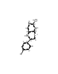 Fc1ccc(-c2ccc3nc(Cl)ncc3n2)cc1